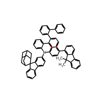 CC1(C)c2ccccc2-c2cccc(-c3ccc(N(c4ccc5c(c4)C4(c6ccccc6-5)C5CC6CC(C5)CC4C6)c4ccccc4-c4ccccc4-c4ccccc4-c4ccccc4)cc3)c21